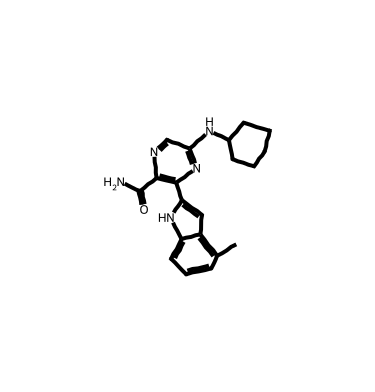 Cc1cccc2[nH]c(-c3nc(NC4CCCCC4)cnc3C(N)=O)cc12